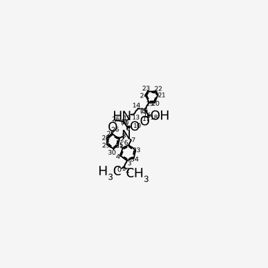 CC(C)c1ccc(CN2C(=O)[C@H](NCC[C@H](C(=O)O)c3ccccc3)COc3ccccc32)cc1